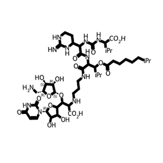 CC(C)CCCCCC(=O)OC(C(C)C)C(NC(=O)C(NC(=O)NC(C(=O)O)C(C)C)C1CCNC(=N)N1)C(=O)NCCCNC(C(=O)O)C(O[C@@H]1O[C@H](CN)[C@@H](O)[C@H]1O)C1O[C@@H](n2ccc(=O)[nH]c2=O)C(O)C1O